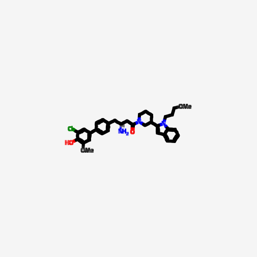 COCCCn1c(C2CCCN(C(=O)C[C@H](N)Cc3ccc(-c4cc(Cl)c(O)c(OC)c4)cc3)C2)cc2ccccc21